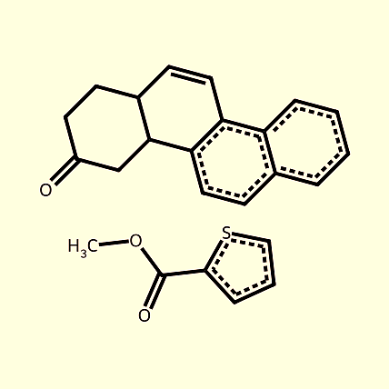 COC(=O)c1cccs1.O=C1CCC2C=Cc3c(ccc4ccccc34)C2C1